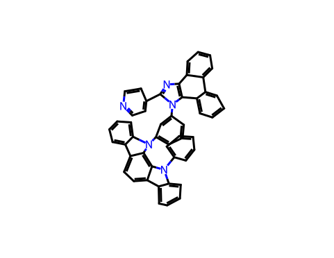 c1ccc(-n2c3ccccc3c3ccc4c5ccccc5n(-c5cccc(-n6c(-c7ccncc7)nc7c8ccccc8c8ccccc8c76)c5)c4c32)cc1